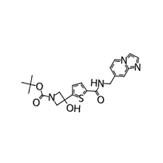 CC(C)(C)OC(=O)N1CC(O)(c2ccc(C(=O)NCc3ccn4ccnc4c3)s2)C1